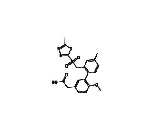 COc1ccc(CC(=O)O)cc1-c1ccc(C)cc1CS(=O)(=O)c1nnc(C)s1